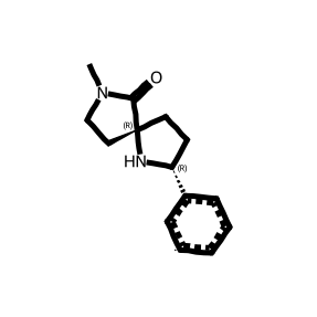 CN1CC[C@]2(CC[C@H](c3c[c]ccc3)N2)C1=O